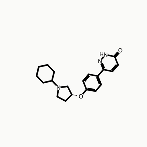 O=c1ccc(-c2ccc(O[C@@H]3CCN(C4CCCCC4)C3)cc2)n[nH]1